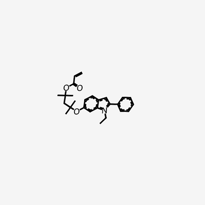 C=CC(=O)OC(C)(C)CC(C)(C)Oc1ccc2cc(-c3ccccc3)n(CC)c2c1